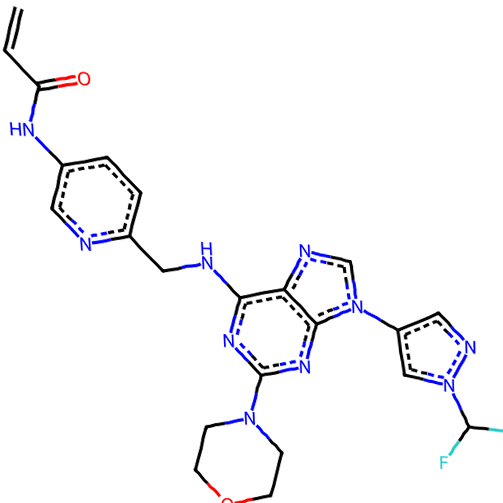 C=CC(=O)Nc1ccc(CNc2nc(N3CCOCC3)nc3c2ncn3-c2cnn(C(F)F)c2)nc1